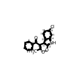 CC1=C(C(=O)c2ccccc2)c2c([nH]c3cc(Cl)ccc23)OO1